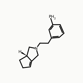 Pc1cccc(CCN2CC3=CCC[C@@H]3C2)c1